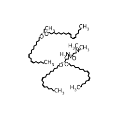 CCCCC/C=C\C/C=C\CCCCCCCCOC[C@H](CC)OCCCCCCCC/C=C\C/C=C\CCCCC.CCCCC/C=C\C/C=C\CCCCCCCCOC[C@H](CCN(N)C(=O)CCN(CC)CC)OCCCCCCCC/C=C\C/C=C\CCCCC